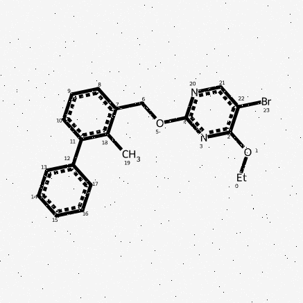 CCOc1nc(OCc2cccc(-c3ccccc3)c2C)ncc1Br